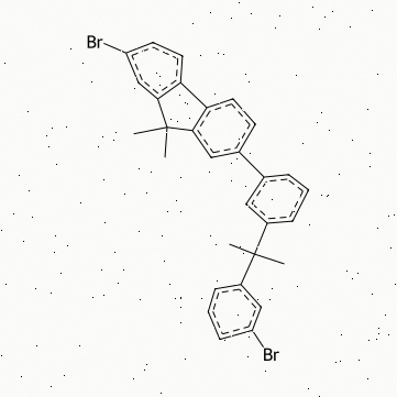 CC(C)(c1cccc(Br)c1)c1cccc(-c2ccc3c(c2)C(C)(C)c2cc(Br)ccc2-3)c1